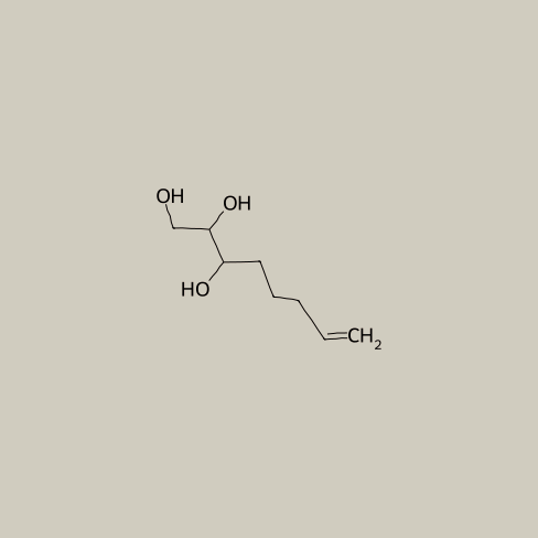 C=CCCCC(O)C(O)CO